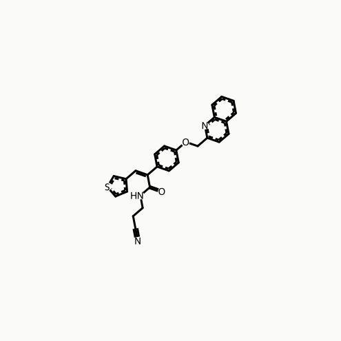 N#CCCNC(=O)/C(=C\c1ccsc1)c1ccc(OCc2ccc3ccccc3n2)cc1